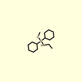 CCN[Si](OC)(C1CCCCC1)C1CCCCC1